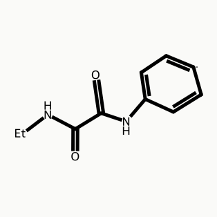 CCNC(=O)C(=O)Nc1cc[c]cc1